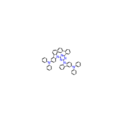 c1ccc(-c2ccccc2-c2nc(-n3c4ccccc4c4cc(N(c5ccccc5)c5ccccc5)ccc43)nc(-n3c4ccccc4c4cc(N(c5ccccc5)c5ccccc5)ccc43)n2)cc1